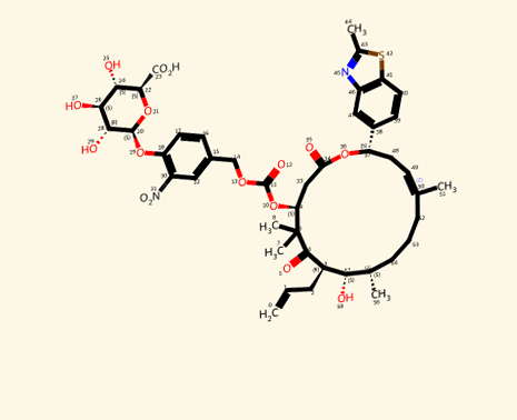 C=CC[C@H]1C(=O)C(C)(C)[C@@H](OC(=O)OCc2ccc(O[C@@H]3O[C@H](C(=O)O)[C@@H](O)[C@H](O)[C@H]3O)c([N+](=O)[O-])c2)CC(=O)O[C@H](c2ccc3sc(C)nc3c2)C/C=C(/C)CCC[C@H](C)[C@@H]1O